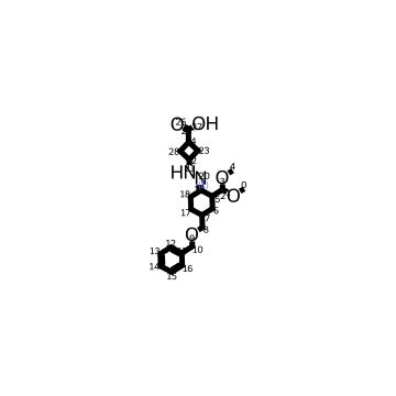 COC(OC)C1CC(COCc2ccccc2)CC/C1=N\NC1CC(C(=O)O)C1